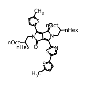 CCCCCCCCC(CCCCCC)CN1C(=O)C2=C(c3ncc(-c4ccc(C)s4)s3)N(CC(CCCCCC)CCCCCCCC)C(=O)C2=C1c1ccc(C)s1